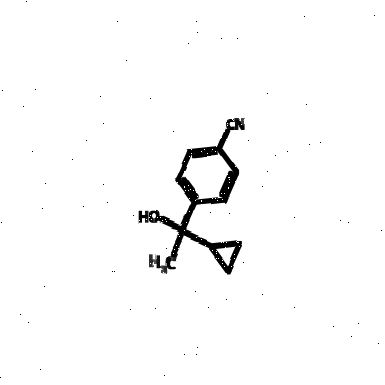 CC(O)(c1ccc(C#N)cc1)C1CC1